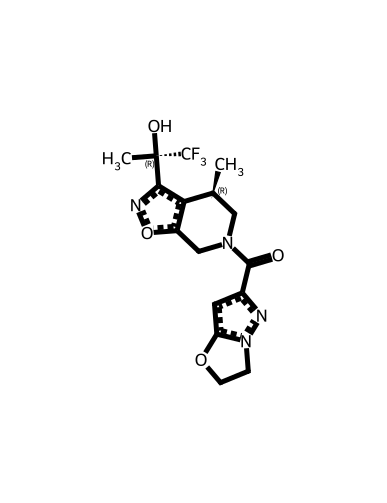 C[C@H]1CN(C(=O)c2cc3n(n2)CCO3)Cc2onc([C@@](C)(O)C(F)(F)F)c21